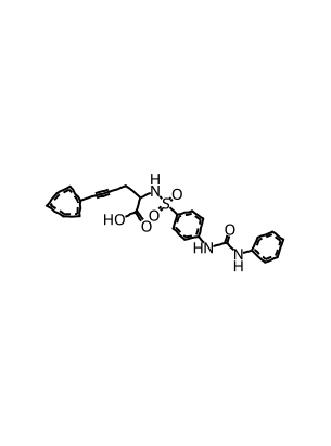 O=C(Nc1ccccc1)Nc1ccc(S(=O)(=O)NC(CC#Cc2ccccc2)C(=O)O)cc1